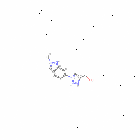 CCn1cc2ccc(-n3cc(CO)nn3)cc2n1